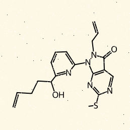 C=CCCC(O)c1cccc(-n2c3nc(SC)ncc3c(=O)n2CC=C)n1